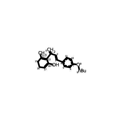 C=C(/C=C/c1ccc(OCCCC)cc1)C1=C(C)CCC=C1O